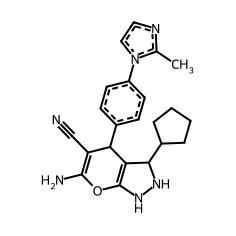 Cc1nccn1-c1ccc(C2C(C#N)=C(N)OC3=C2C(C2CCCC2)NN3)cc1